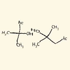 CC(=O)C(C)(C)O.CC(=O)CC(C)(C)O